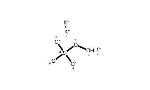 [K+].[K+].[K+].[O-][Si]([O-])([O-])OO